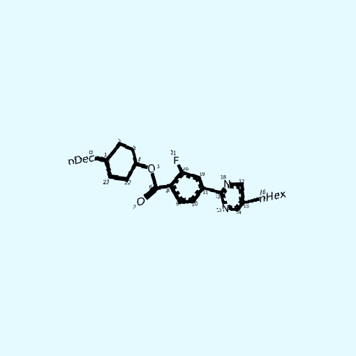 CCCCCCCCCCC1CCC(OC(=O)c2ccc(-c3ncc(CCCCCC)cn3)cc2F)CC1